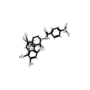 O=C(N[C@@H]1CC[C@H]2[C@H]3Cc4c(O)c(O)cc5c4[C@@]2(CC[NH+]3[O-])[C@H]1O5)c1ccc([N+](=O)[O-])cc1